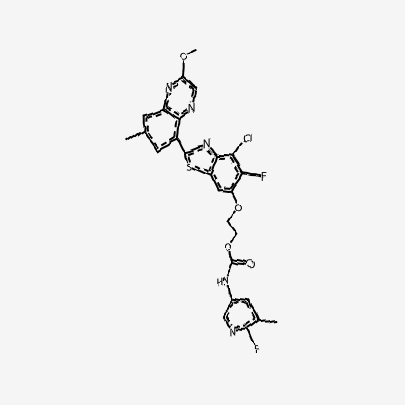 COc1cnc2c(-c3nc4c(Cl)c(F)c(OCCOC(=O)Nc5cnc(F)c(C)c5)cc4s3)cc(C)cc2n1